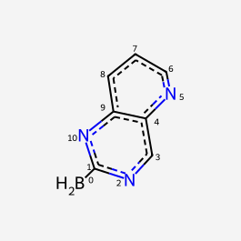 Bc1ncc2ncccc2n1